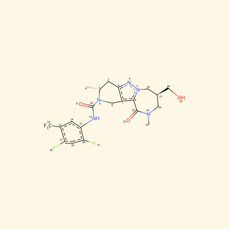 C[C@@H]1Cc2nn3c(c2CN1C(=O)Nc1cc(C(F)(F)F)c(F)cc1F)C(=O)N(C)C[C@H](CO)C3